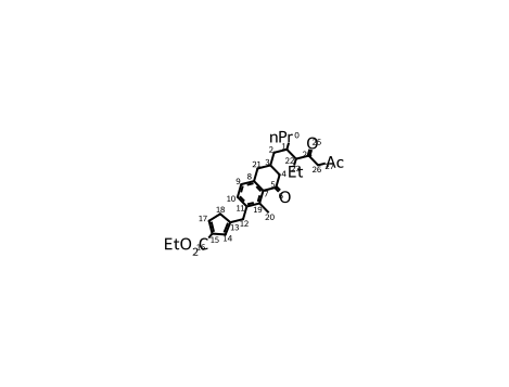 CCCC(CC1CC(=O)c2c(ccc(CC3=CC(C(=O)OCC)=CC3)c2C)C1)C(CC)C(=O)CC(C)=O